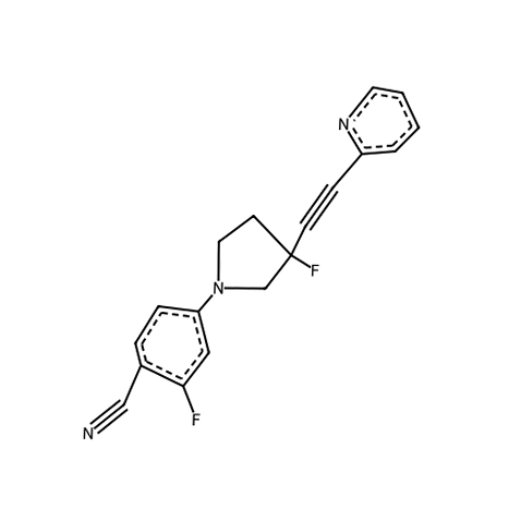 N#Cc1ccc(N2CCC(F)(C#Cc3ccccn3)C2)cc1F